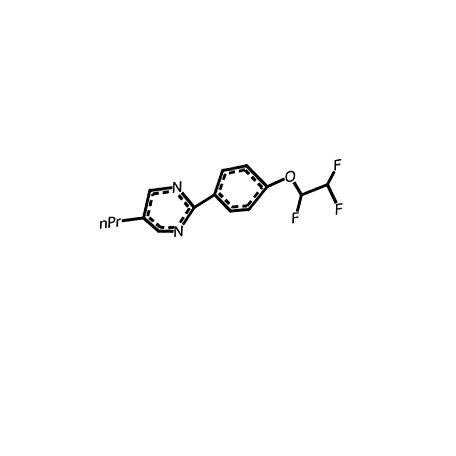 CCCc1cnc(-c2ccc(OC(F)C(F)F)cc2)nc1